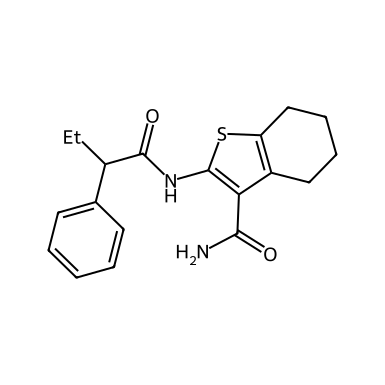 CCC(C(=O)Nc1sc2c(c1C(N)=O)CCCC2)c1ccccc1